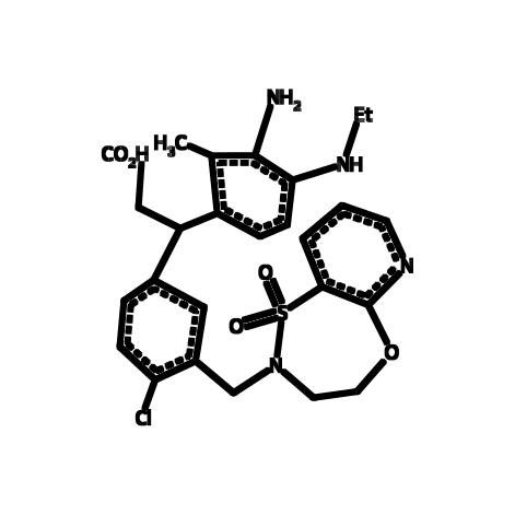 CCNc1ccc(C(CC(=O)O)c2ccc(Cl)c(CN3CCOc4ncccc4S3(=O)=O)c2)c(C)c1N